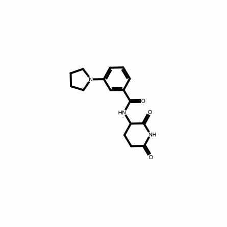 O=C1CCC(NC(=O)c2cccc(N3CCCC3)c2)C(=O)N1